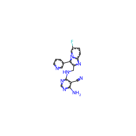 N#Cc1c(N)ncnc1NCc1nc2ccc(F)cn2c1-c1cccnc1